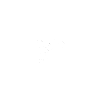 Cc1cn[c]cc1-c1cn(-c2ccc(Cl)cc2Cl)c(-c2ccn[nH]2)n1